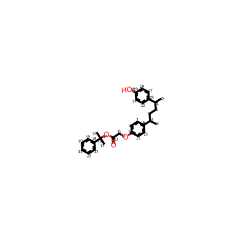 CC(CCC(C)c1ccc(OCC(=O)OC(C)(C)c2ccccc2)cc1)c1ccc(O)cc1